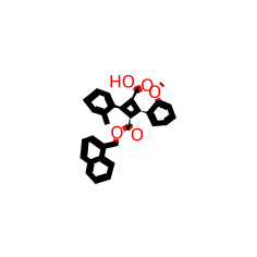 COc1ccccc1[C@H]1[C@H](C(=O)O)[C@H](c2ccccc2C)[C@H]1C(=O)OCc1cccc2ccccc12